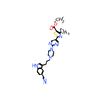 CCOC(=O)c1sc(-c2cnc(N3CCN(CCCc4c[nH]c5ccc(C#N)cc45)CC3)nc2)nc1C